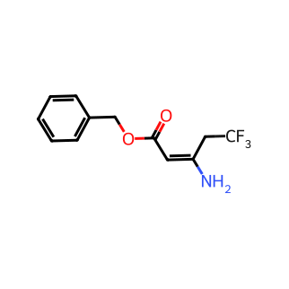 N/C(=C/C(=O)OCc1ccccc1)CC(F)(F)F